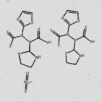 S=C([S-])N(c1ncco1)N(C(=S)S)C1NCCS1.S=C([S-])N(c1ncco1)N(C(=S)S)C1NCCS1.[O]=[Mo+2]=[O]